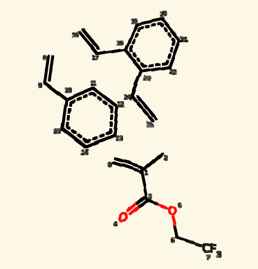 C=C(C)C(=O)OCC(F)(F)F.C=Cc1ccccc1.C=Cc1ccccc1C=C